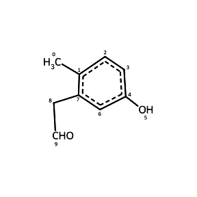 Cc1ccc(O)cc1CC=O